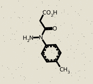 Cc1ccc(N(N)C(=O)CC(=O)O)cc1